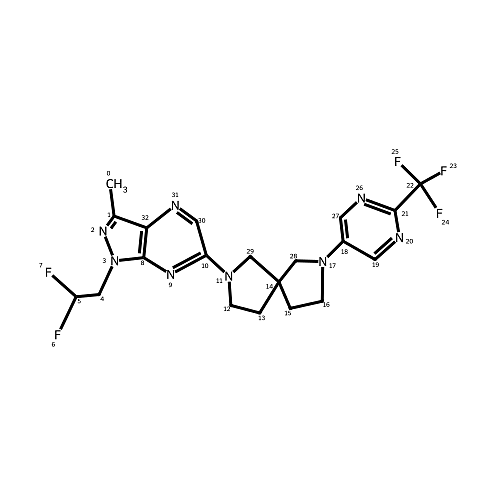 Cc1nn(CC(F)F)c2nc(N3CCC4(CCN(c5cnc(C(F)(F)F)nc5)C4)C3)cnc12